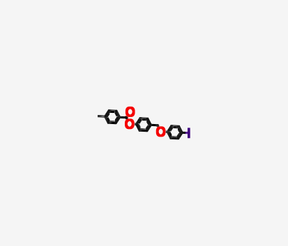 Cc1ccc(C(=O)Oc2ccc(COc3ccc(I)cc3)cc2)cc1